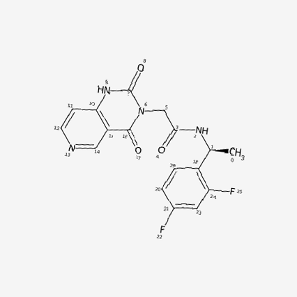 C[C@H](NC(=O)Cn1c(=O)[nH]c2ccncc2c1=O)c1ccc(F)cc1F